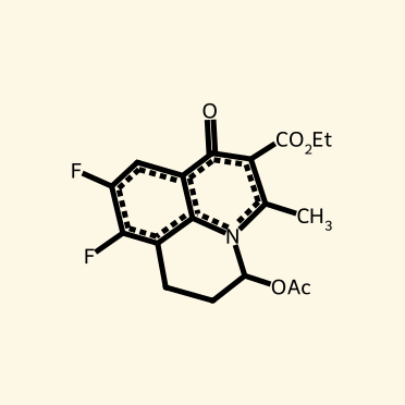 CCOC(=O)c1c(C)n2c3c(c(F)c(F)cc3c1=O)CCC2OC(C)=O